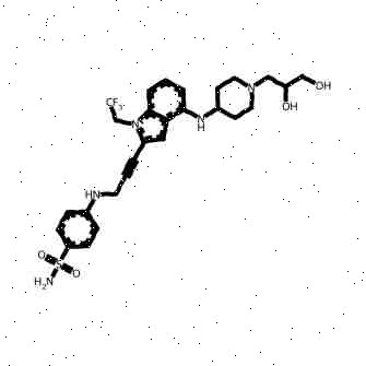 NS(=O)(=O)c1ccc(NCC#Cc2cc3c(NC4CCN(CC(O)CO)CC4)cccc3n2CC(F)(F)F)cc1